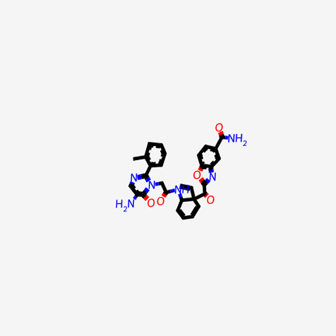 C=CC1(C(=O)c2nc3cc(C(N)=O)ccc3o2)C=CC=CC1NC(=O)Cn1c(-c2ccccc2C)ncc(N)c1=O